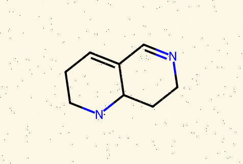 C1=NCCC2[N]CCC=C12